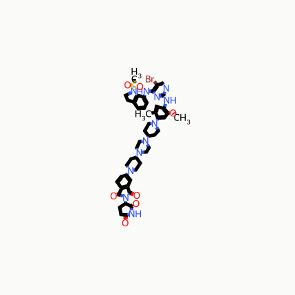 COc1cc(N2CCC(N3CCN(C4CCN(c5ccc6c(c5)C(=O)N(C5CCC(=O)NC5=O)C6=O)CC4)CC3)CC2)c(C)cc1Nc1ncc(Br)c(Nc2cccc3c2N(S(C)(=O)=O)CC3)n1